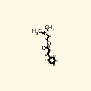 CCN(CC)CCOC(=O)C=Cc1ccccc1